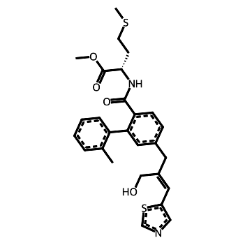 COC(=O)[C@H](CCSC)NC(=O)c1ccc(C/C(=C/c2cncs2)CO)cc1-c1ccccc1C